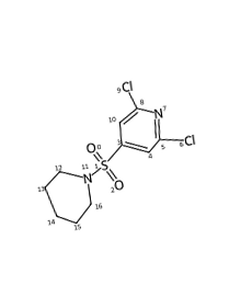 O=S(=O)(c1cc(Cl)nc(Cl)c1)N1CCCCC1